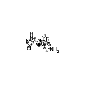 C=C/C(=C(\N=C(/N)c1c[nH]c2ncc(Cl)cc12)NC1CCC(N)CC1)C(F)(F)F